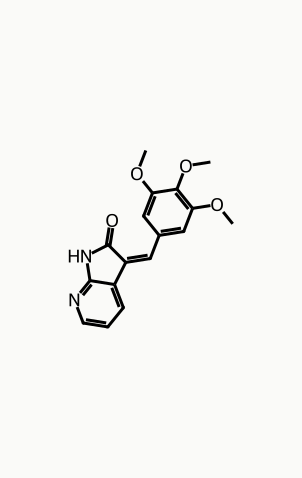 COc1cc(C=C2C(=O)Nc3ncccc32)cc(OC)c1OC